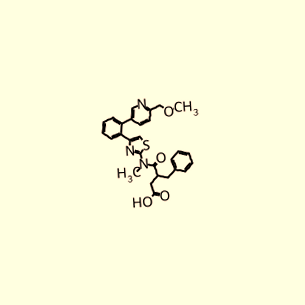 COCc1ccc(-c2ccccc2-c2csc(N(C)C(=O)C(CC(=O)O)Cc3ccccc3)n2)cn1